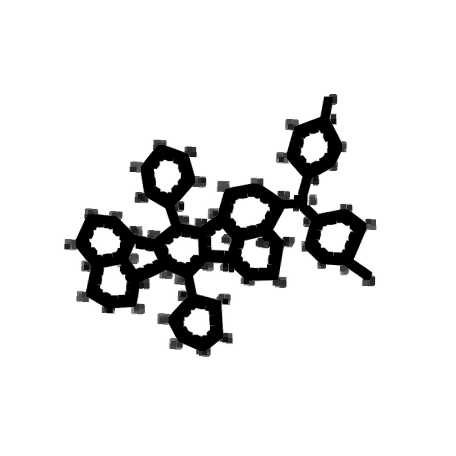 Cc1ccc(N(c2ccc(C)cc2)c2ccc3c4c(-c5ccccc5)c5c6cccc7cccc(c5c(-c5ccccc5)c4c4cccc2c43)c76)cc1